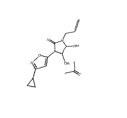 C=CCN1C(=O)N(c2cc(C3CC3)no2)C(O)C1O.CC(C)=O